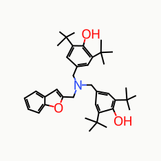 CC(C)(C)c1cc(CN(Cc2cc(C(C)(C)C)c(O)c(C(C)(C)C)c2)Cc2cc3ccccc3o2)cc(C(C)(C)C)c1O